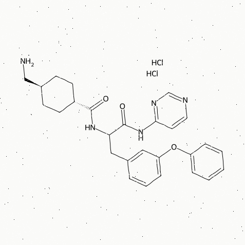 Cl.Cl.NC[C@H]1CC[C@H](C(=O)NC(Cc2cccc(Oc3ccccc3)c2)C(=O)Nc2ccncn2)CC1